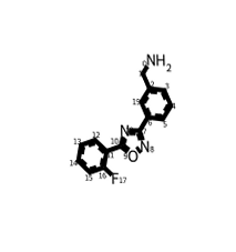 NCc1cccc(-c2noc(-c3ccccc3F)n2)c1